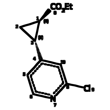 CCOC(=O)[C@@H]1C[C@H]1c1ccnc(Cl)c1